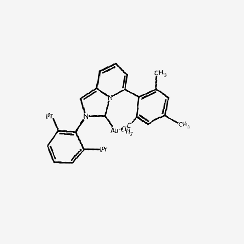 Cc1cc(C)c(C2=CC=CC3=CN(c4c(C(C)C)cccc4C(C)C)[CH]([Au-][Cl])N32)c(C)c1